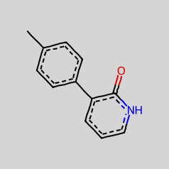 Cc1ccc(-c2ccc[nH]c2=O)cc1